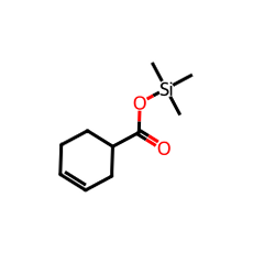 C[Si](C)(C)OC(=O)C1CC=CCC1